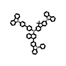 CC1(C)c2cc(N(c3ccc(-c4ccc(-n5c6ccccc6c6ccccc65)cc4)cc3)c3ccc(-c4ccc5c6ccccc6n(-c6ccccc6)c5c4)c4ccccc34)ccc2-c2ccc(-n3c4ccccc4c4ccccc43)cc21